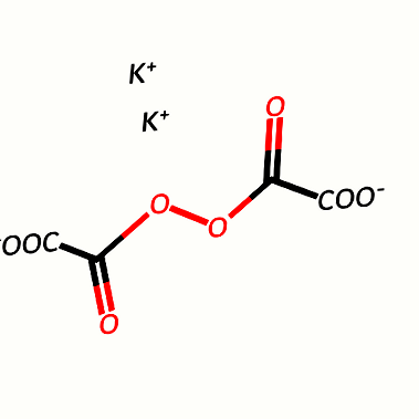 O=C([O-])C(=O)OOC(=O)C(=O)[O-].[K+].[K+]